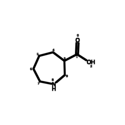 O=C(O)C1CCCCNC1